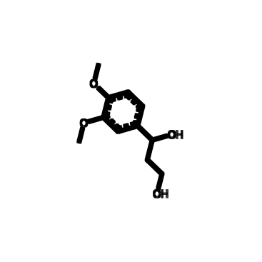 COc1ccc(C(O)CCO)cc1OC